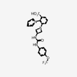 O=C(Nc1ccc(OC(F)(F)F)cc1)NC1CN(c2cccc(C(=O)O)c2-n2cccc2)C1